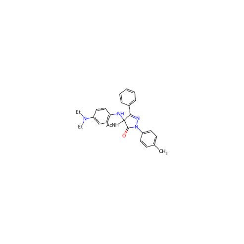 CCN(CC)c1ccc(NC2(NC(C)=O)C(=O)N(c3ccc(C)cc3)N=C2c2ccccc2)cc1